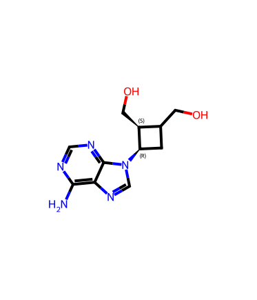 Nc1ncnc2c1ncn2[C@@H]1CC(CO)[C@@H]1CO